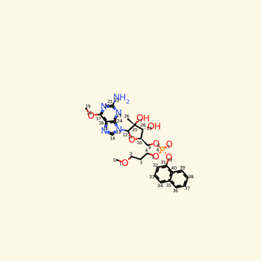 COCCCOP(=O)(OC[C@H]1OC(n2cnc3c(OC)nc(N)nc32)[C@](C)(O)[C@@H]1O)Oc1cccc2ccccc12